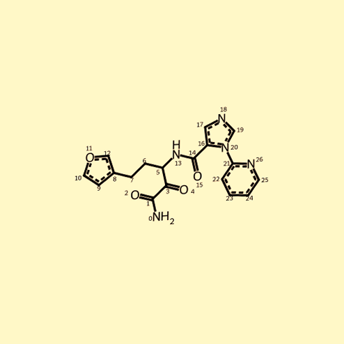 NC(=O)C(=O)C(CCc1ccoc1)NC(=O)c1cncn1-c1ccccn1